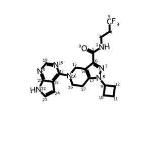 O=C(NCCC(F)(F)F)c1nn(C2CCC2)c2c1CN(c1ncnc3[nH]ccc13)CC2